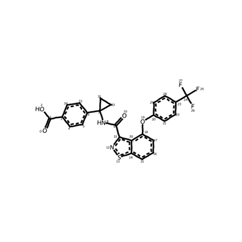 O=C(O)c1ccc(C2(NC(=O)c3nsc4cccc(Oc5ccc(C(F)(F)F)cc5)c34)CC2)cc1